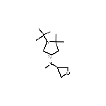 CN(C1COC1)[C@@H]1CN(C(C)(C)C)C(C)(C)C1